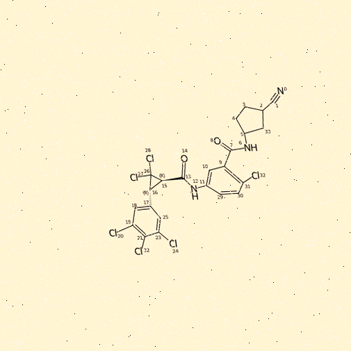 N#CC1CCC(NC(=O)c2cc(NC(=O)[C@H]3[C@H](c4cc(Cl)c(Cl)c(Cl)c4)C3(Cl)Cl)ccc2Cl)C1